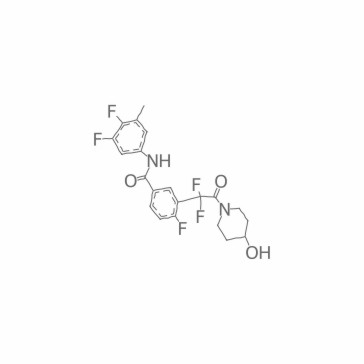 Cc1cc(NC(=O)c2ccc(F)c(C(F)(F)C(=O)N3CCC(O)CC3)c2)cc(F)c1F